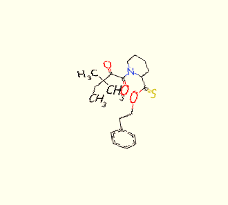 CCC(C)(C)C(=O)C(=O)N1CCCCC1C(=S)OCCc1ccccc1